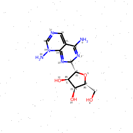 NC1=NC([C@@H]2O[C@H](CO)[C@@H](O)[C@H]2O)N=C2C1=CN=CN2N